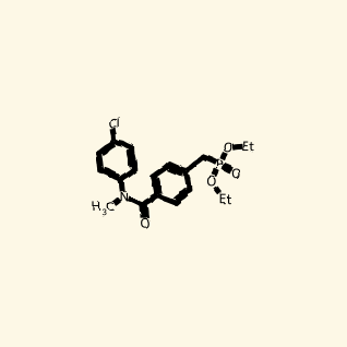 CCOP(=O)(Cc1ccc(C(=O)N(C)c2ccc(Cl)cc2)cc1)OCC